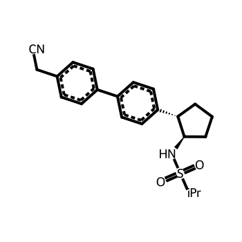 CC(C)S(=O)(=O)N[C@@H]1CCC[C@H]1c1ccc(-c2ccc(CC#N)cc2)cc1